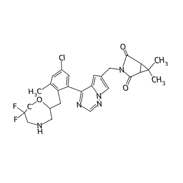 Cc1cc(Cl)cc(-c2ncnn3cc(CN4C(=O)C5C(C4=O)C5(C)C)cc23)c1CC1CNCC(F)(F)CO1